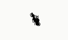 CC#CC(=O)N1CCC(N[C@H]2COc3cc(-c4nc5ccc(OC)nn5c4-c4cc(F)ccc4F)ccc32)CC1